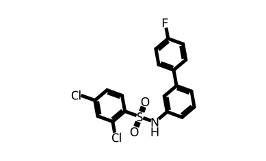 O=S(=O)(Nc1cccc(-c2ccc(F)cc2)c1)c1ccc(Cl)cc1Cl